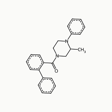 CC1CN(C(=O)c2ccccc2-c2ccccc2)CCN1c1ccccc1